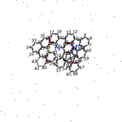 c1ccc(-n2c3ccccc3c3ccc(-c4ccccc4N(c4ccccc4-c4cccc5cccc(C6CCCCC6)c45)c4cccc5c4-c4ccccc4C5(c4ccccc4)c4ccccc4)cc32)cc1